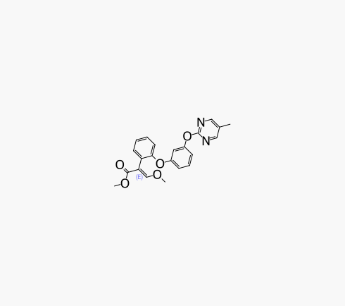 CO/C=C(/C(=O)OC)c1ccccc1Oc1cccc(Oc2ncc(C)cn2)c1